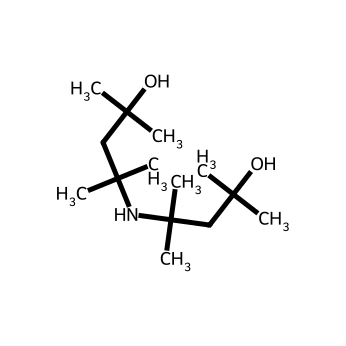 CC(C)(O)CC(C)(C)NC(C)(C)CC(C)(C)O